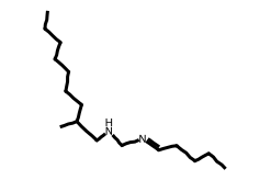 CCCC/C=N/CNCC(C)CCCCCCC